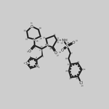 O=C([C@H](Cc1cscn1)N1CC[C@H](NS(=O)(=O)CCc2ccc(Cl)cc2)C1=O)N1CCOCC1